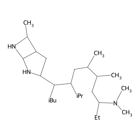 CCC(C)C(C1CC2C(C)NC2N1)C(CC(C)C(C)CC(CC)N(C)C)C(C)C